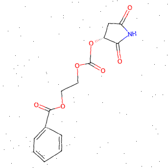 O=C1C[C@@H](OC(=O)OCCOC(=O)c2ccccc2)C(=O)N1